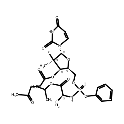 CC(=O)CCC(=O)O[C@@H]1[C@H](COP(=O)(N[C@@H](C)C(=O)OC(C)C)Oc2ccccc2)O[C@@H](n2ccc(=O)[nH]c2=O)[C@]1(C)F